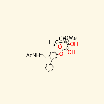 CO[C@@H]1[C@@H](O)[C@@H](O)C(Oc2ccc(CCNC(C)=O)c(-c3ccccc3)c2)OC1(C)C